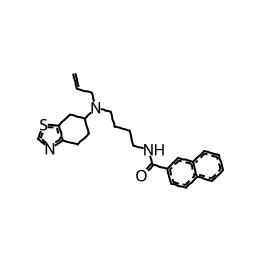 C=CCN(CCCCNC(=O)c1ccc2ccccc2c1)C1CCc2ncsc2C1